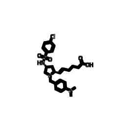 CN(C)c1ccc(CN2C[C@H](NS(=O)(=O)c3ccc(Cl)cc3)C[C@H]2C=CCCCC(=O)O)cc1